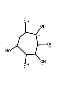 OC1CC(O)C(O)C(O)C(O)C1O